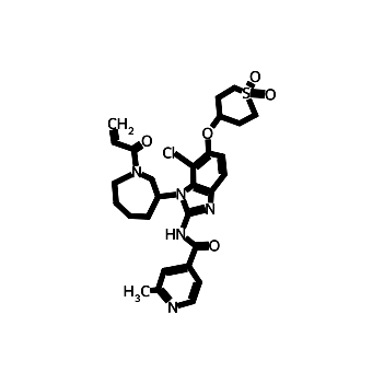 C=CC(=O)N1CCCCC(n2c(NC(=O)c3ccnc(C)c3)nc3ccc(OC4CCS(=O)(=O)CC4)c(Cl)c32)C1